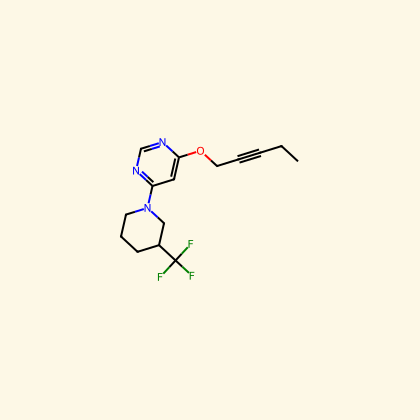 CCC#CCOc1cc(N2CCCC(C(F)(F)F)C2)ncn1